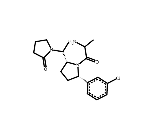 CC(N)C(=O)N1[C@@H](C(C)N2CCCC2=O)CC[C@H]1c1cccc(Cl)c1